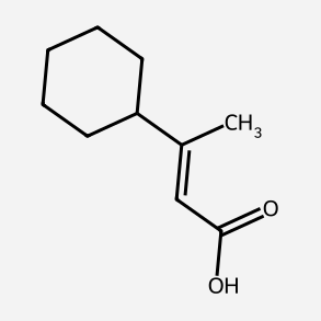 C/C(=C\C(=O)O)C1CCCCC1